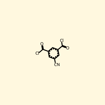 N#Cc1cc(C(=O)Cl)cc(C(=O)Cl)c1